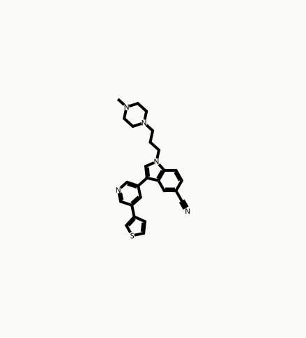 CN1CCN(CCCn2cc(-c3cncc(-c4ccsc4)c3)c3cc(C#N)ccc32)CC1